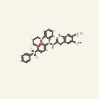 COc1cc(CC(=O)NN(c2ccc(S(=O)(=O)c3ccccc3)cc2)c2ccccc2N2CCCCC2)c(Br)cc1C(=O)O